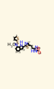 CN(Sc1cccs1)c1cccc2cc(-c3ncc(CCc4noc(=O)[nH]4)s3)[nH]c12